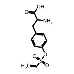 C=CS(=O)(=O)Oc1ccc(CC(N)C(=O)O)cc1